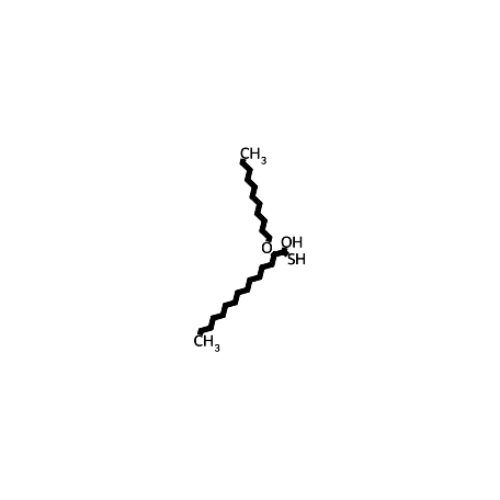 CCCCCCCCCCCCCC(OCCCCCCCCCCC)C(O)S